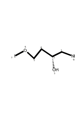 NC[C@H](O)CCOI